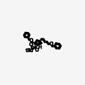 CC(C)(C)OC(=O)N1[C@H](C(=O)OCc2ccccc2)C[C@@]2(/C=C\CCCOCc3ccccc3)C[C@@H]12